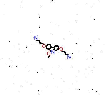 CCOc1nc2cc(OCCCCN(C)C)ccc2c2ccc(OCCCCN(C)C)cc12